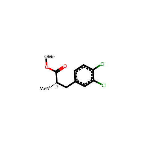 CN[C@@H](Cc1ccc(Cl)c(Cl)c1)C(=O)OOC